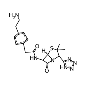 CC1(C)S[C@H]2C(NC(=O)Cc3ccc(CCN)cc3)C(=O)N2C1c1nnn[nH]1